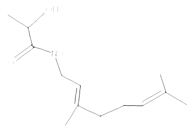 CC(C)=CCCC(C)=CCNC(=O)C(C)O